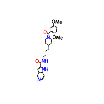 COc1ccc(OC)c(C(=O)N2CCC(CCCCNC(=O)c3cc4cnccc4[nH]3)CC2)c1